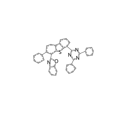 c1ccc(-c2nc(-c3ccccc3)nc(-c3cccc4c3sc3c(-c5nc6ccccc6o5)c(-c5ccccc5)ccc34)n2)cc1